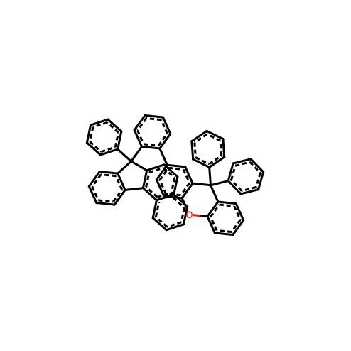 c1ccc(C2(c3ccccc3)c3ccccc3Oc3ccc(-c4ccccc4C4(c5ccccc5)c5ccccc5-c5c4ccc4ccccc54)cc32)cc1